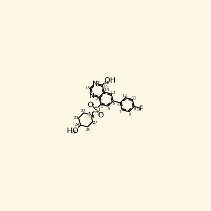 O=S(=O)(c1cc(-c2ccc(F)cc2)cc2c(O)ncnc12)N1CCC(O)CC1